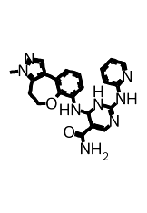 Cn1ncc2c1CCOc1c(NC3NC(Nc4ccccn4)=NC=C3C(N)=O)cccc1-2